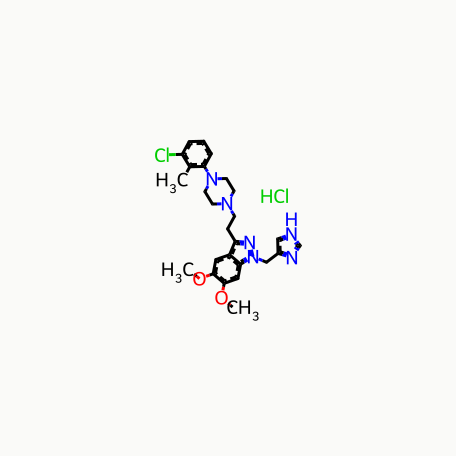 COc1cc2c(CCN3CCN(c4cccc(Cl)c4C)CC3)nn(Cc3c[nH]cn3)c2cc1OC.Cl